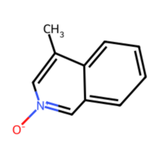 Cc1c[n+]([O-])cc2ccccc12